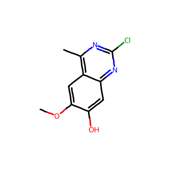 COc1cc2c(C)nc(Cl)nc2cc1O